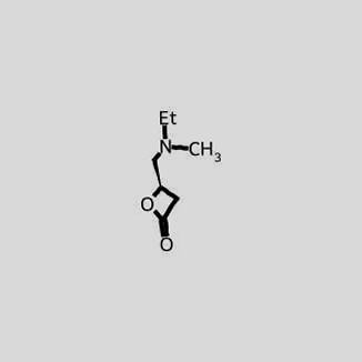 CCN(C)C[C@H]1CC(=O)O1